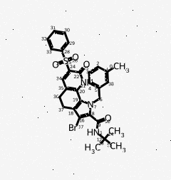 Cc1cccc(Cn2c(C(=O)NC(C)(C)C)c(Br)c3c2-c2[nH]c(=O)c(S(=O)(=O)c4ccccc4)cc2CC3)c1